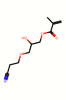 C=C(C)C(=O)OCC(O)COCCC#N